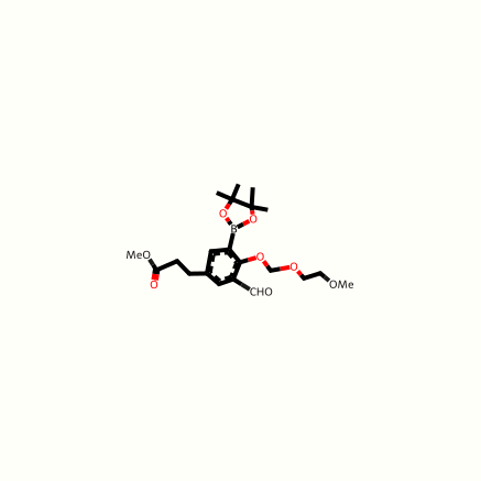 COCCOCOc1c(C=O)cc(CCC(=O)OC)cc1B1OC(C)(C)C(C)(C)O1